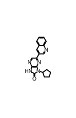 O=c1[nH]c2ncc(-c3cnc4ccccc4c3)nc2n1C1CCCC1